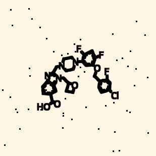 O=C(O)c1ccc2nc(CN3CCN(c4cc(OCc5ccc(Cl)cc5F)c(F)cc4F)CC3)n(CC3CCO3)c2c1